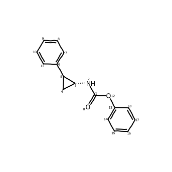 O=C(N[C@@H]1CC1c1ccccc1)Oc1ccccc1